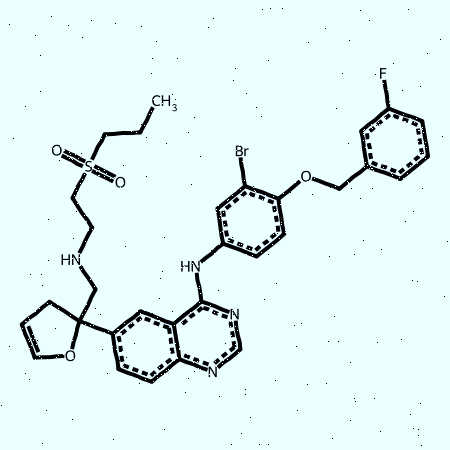 CCCS(=O)(=O)CCNCC1(c2ccc3ncnc(Nc4ccc(OCc5cccc(F)c5)c(Br)c4)c3c2)CC=CO1